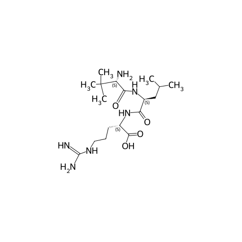 CC(C)C[C@H](NC(=O)[C@@H](N)C(C)(C)C)C(=O)N[C@@H](CCCNC(=N)N)C(=O)O